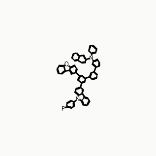 Fc1ccc(-n2c3ccccc3c3cc(-c4cc(-c5cccc(-c6cccc(N(c7ccccc7)c7ccc8ccccc8c7)c6)c5)cc(-c5ccc6oc7ccccc7c6c5)c4)ccc32)cc1